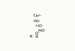 [Ce+3].[K+].[OH-].[OH-].[OH-].[OH-]